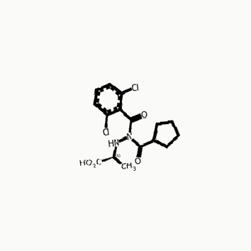 C[C@H](NN(C(=O)c1c(Cl)cccc1Cl)C(=O)C1CCCC1)C(=O)O